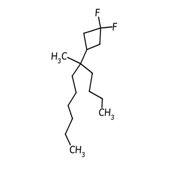 CCCCCCC(C)(CCCC)C1CC(F)(F)C1